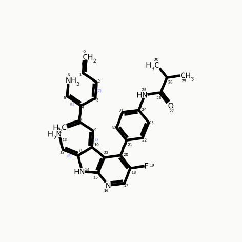 C=C/C=C\C(=C/N)C(=C)/C=c1\c(=C/N)[nH]c2ncc(F)c(-c3ccc(NC(=O)C(C)C)cc3)c12